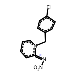 O=[N+]([O-])/N=c1\ccccn1Cc1ccc(Cl)cc1